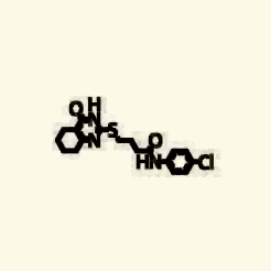 O=C(CCCSc1nc2c(c(=O)[nH]1)CCCC2)Nc1ccc(Cl)cc1